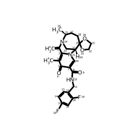 C=C1c2c(C)c(=O)c(C(=O)NCc3ccc(F)cc3F)cn2[C@@H]2CN1[C@@H](C)CCC21OCCO1